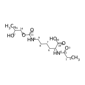 CCC(=O)NC(CCCCNC(=O)OCC(C)O)C(=O)O